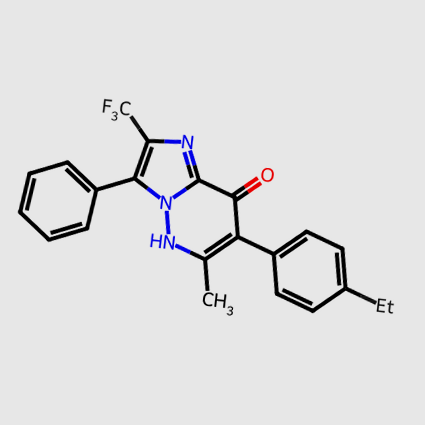 CCc1ccc(-c2c(C)[nH]n3c(-c4ccccc4)c(C(F)(F)F)nc3c2=O)cc1